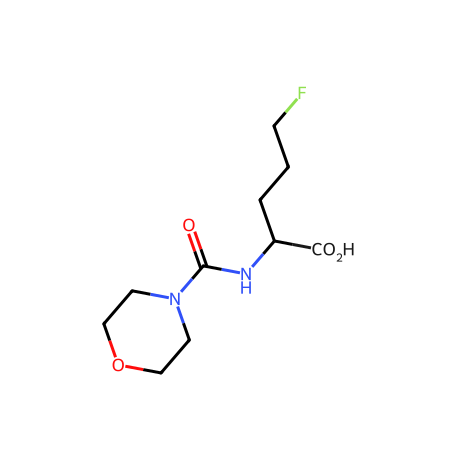 O=C(O)C(CCCF)NC(=O)N1CCOCC1